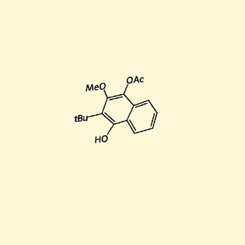 COc1c(C(C)(C)C)c(O)c2ccccc2c1OC(C)=O